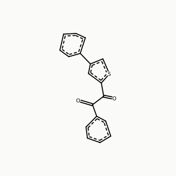 O=C(C(=O)c1cc(-c2ccccc2)cs1)c1ccccc1